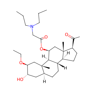 CCCN(CCC)CC(=O)O[C@H]1C[C@]2(C)[C@@H](C(C)=O)CC[C@H]2[C@@H]2CC[C@H]3C[C@H](O)[C@@H](OCC)C[C@]3(C)[C@H]21